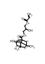 C=CC(=O)OCC(O)COC(=O)C12CC3(C)CC(C)(CC(O)(C3)C1)C2